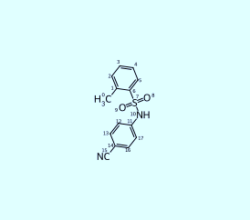 Cc1ccccc1S(=O)(=O)Nc1ccc(C#N)cc1